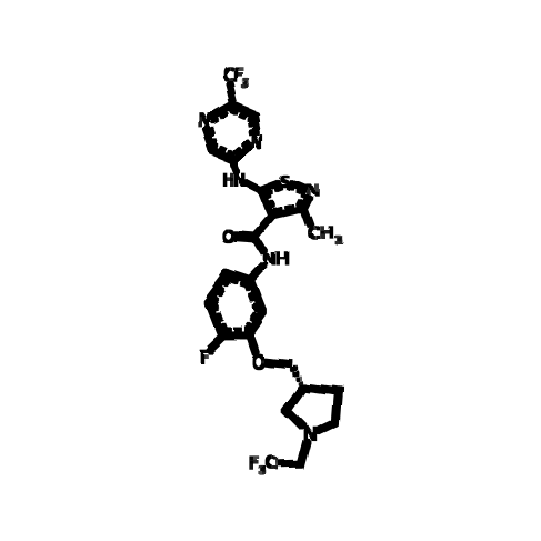 Cc1nsc(Nc2cnc(C(F)(F)F)cn2)c1C(=O)Nc1ccc(F)c(OC[C@@H]2CCN(CC(F)(F)F)C2)c1